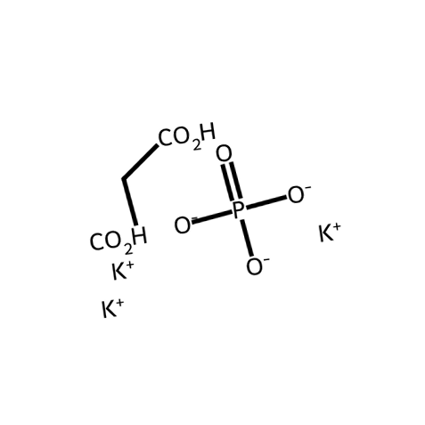 O=C(O)CC(=O)O.O=P([O-])([O-])[O-].[K+].[K+].[K+]